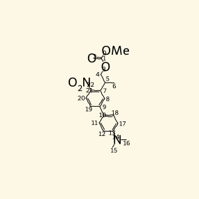 COC(=O)OCC(C)c1cc(-c2ccc(N(C)C)cc2)ccc1[N+](=O)[O-]